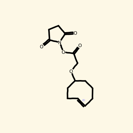 O=C(COC1CC/C=C/CCC1)ON1C(=O)CCC1=O